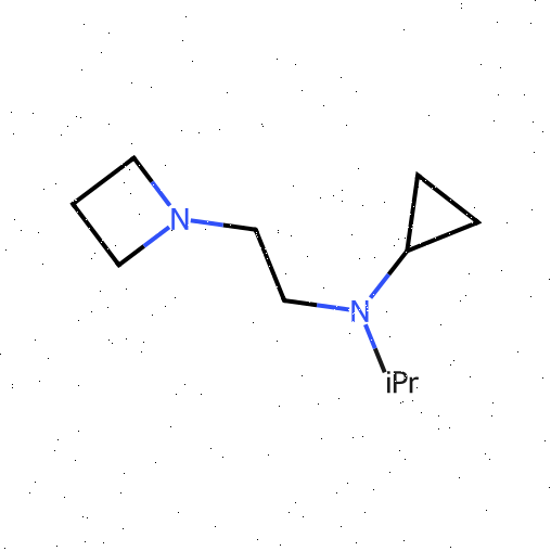 CC(C)N(CCN1CCC1)C1CC1